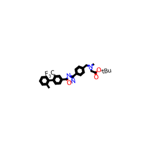 Cc1ccccc1-c1ccc(-c2nc(-c3ccc(CN(C)CC(=O)OC(C)(C)C)cc3)no2)cc1C(F)(F)F